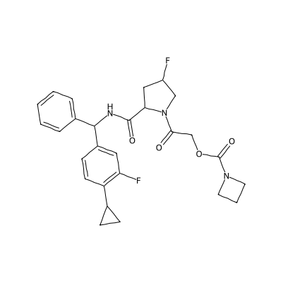 O=C(NC(c1ccccc1)c1ccc(C2CC2)c(F)c1)C1CC(F)CN1C(=O)COC(=O)N1CCC1